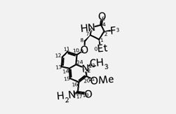 CC[C@@H]1[C@H](F)C(=O)N[C@@H]1COC1=CC=CC2=CC(C(N)=O)=C(OC)N(C)C21